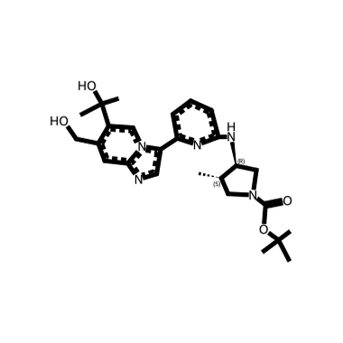 C[C@H]1CN(C(=O)OC(C)(C)C)C[C@@H]1Nc1cccc(-c2cnc3cc(CO)c(C(C)(C)O)cn23)n1